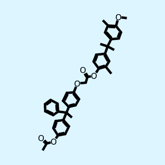 COc1ccc(C(C)(C)c2ccc(OC(=O)COc3ccc(C(C)(c4ccccc4)c4ccc(OC(C)=O)cc4)cc3)c(C)c2)cc1C